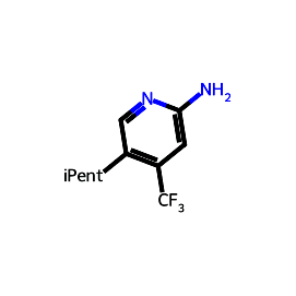 CCCC(C)c1cnc(N)cc1C(F)(F)F